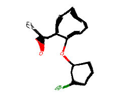 CCC(=O)c1ccccc1OC1CCCC1Br